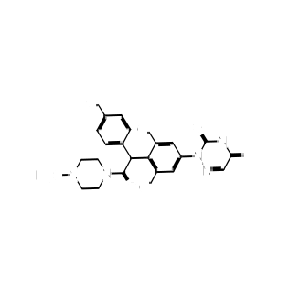 CN1CCN(C(=O)C(c2ccc(Cl)cc2)c2c(Cl)cc(-n3ncc(=O)[nH]c3=O)cc2Cl)CC1